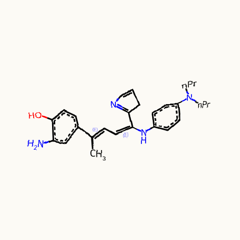 CCCN(CCC)c1ccc(N/C(=C/C=C(\C)c2ccc(O)c(N)c2)C2=NC=CC2)cc1